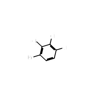 Cc1c(Cl)ccc(Br)c1Cl